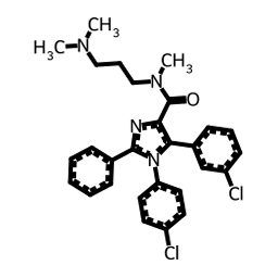 CN(C)CCCN(C)C(=O)c1nc(-c2ccccc2)n(-c2ccc(Cl)cc2)c1-c1cccc(Cl)c1